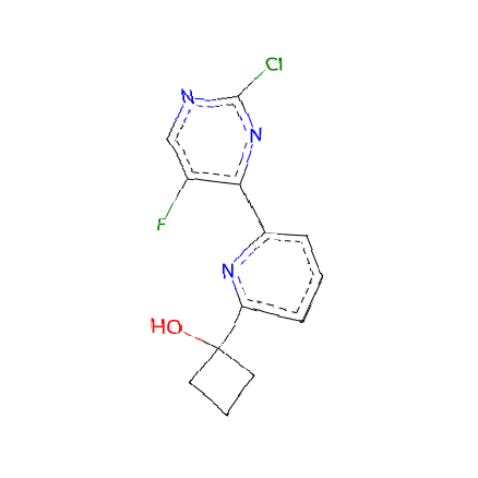 OC1(c2cccc(-c3nc(Cl)ncc3F)n2)CCC1